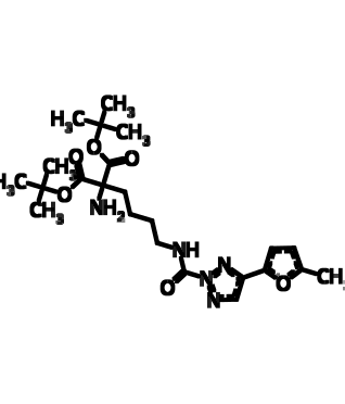 Cc1ccc(-c2cnn(C(=O)NCCCCC(N)(C(=O)OC(C)(C)C)C(=O)OC(C)(C)C)n2)o1